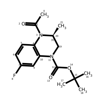 CC(=O)N1c2ccc(F)cc2N(C(=O)OC(C)(C)C)C[C@@H]1C